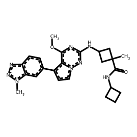 COc1nc(NC2CC(C)(C(=O)NC3CCC3)C2)nn2ccc(-c3ccc4nnn(C)c4c3)c12